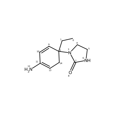 CCC1(N2CCNC2=O)C=CC(N)=CC1